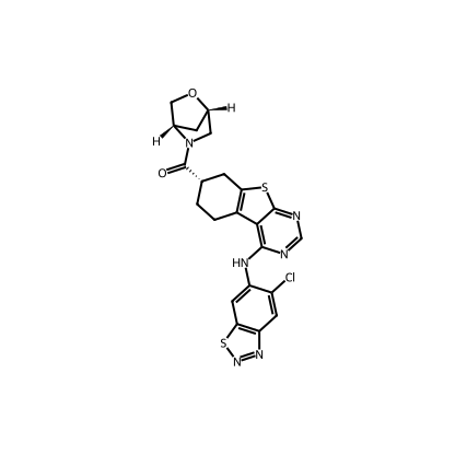 O=C([C@H]1CCc2c(sc3ncnc(Nc4cc5snnc5cc4Cl)c23)C1)N1C[C@@H]2C[C@H]1CO2